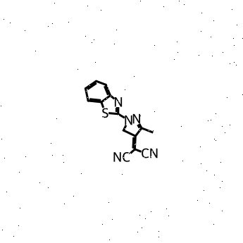 CC1=NN(c2nc3ccccc3s2)CC1=C(C#N)C#N